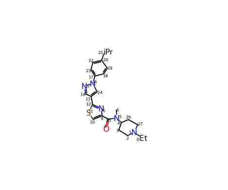 CCN1CCC(N(C)C(=O)c2csc(-c3cnn(-c4ccc(C(C)C)cc4)c3)n2)CC1